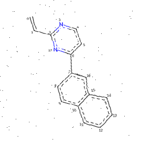 C=Cc1nccc(-c2ccc3ccccc3c2)n1